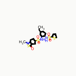 CCc1ccc(NS(=O)(=O)c2cccs2)c(NS(=O)(=O)c2ccc3c(c2)c(=O)sn3C)c1